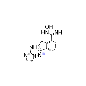 N=C(NO)c1cccc2c1CC/C2=N\n1ccnc1N